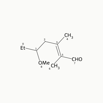 CCC(CC(C)=C(C)C=O)OC